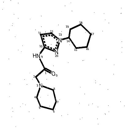 O=C(CN1CCCCC1)Nc1ccn(C2CCCCC2)n1